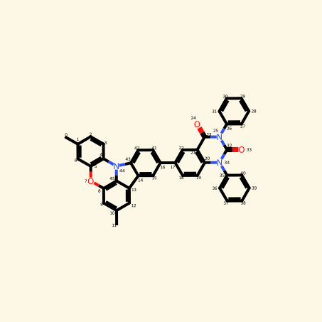 Cc1ccc2c(c1)Oc1cc(C)cc3c4cc(-c5ccc6c(c5)c(=O)n(-c5ccccc5)c(=O)n6-c5ccccc5)ccc4n-2c13